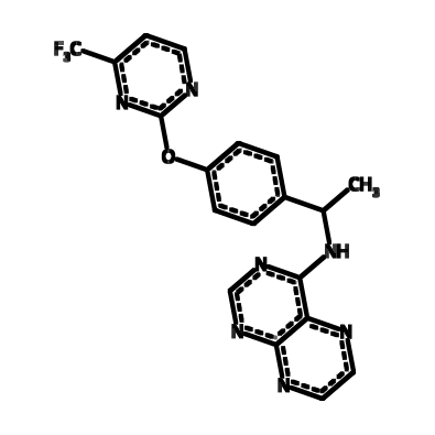 CC(Nc1ncnc2nccnc12)c1ccc(Oc2nccc(C(F)(F)F)n2)cc1